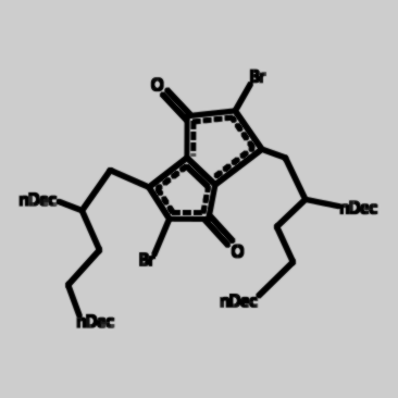 CCCCCCCCCCCCC(CCCCCCCCCC)Cc1c(Br)c(=O)c2c(CC(CCCCCCCCCC)CCCCCCCCCCCC)c(Br)c(=O)c1=2